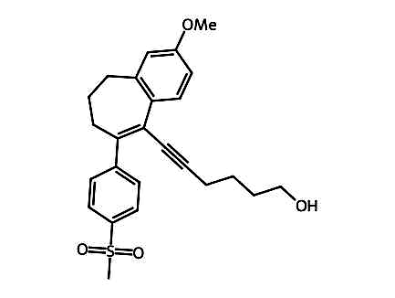 COc1ccc2c(c1)CCCC(c1ccc(S(C)(=O)=O)cc1)=C2C#CCCCCO